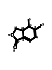 CC1C(F)=CC=C2C(=O)OCC21